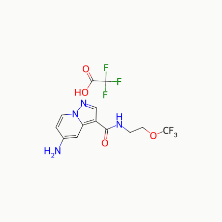 Nc1ccn2ncc(C(=O)NCCOC(F)(F)F)c2c1.O=C(O)C(F)(F)F